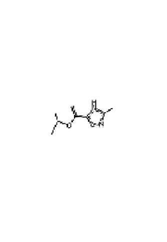 C=C(OC(C)C)c1cnc(C)[nH]1